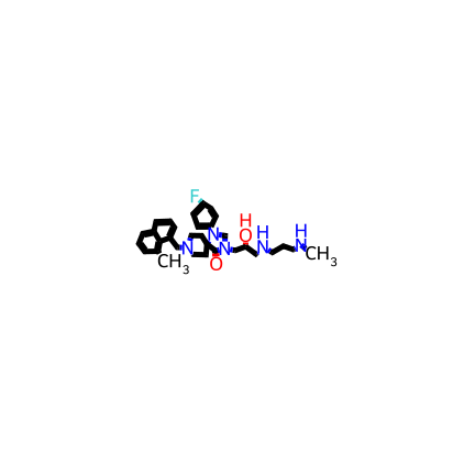 CNCCCNCC(O)CN1CN(c2ccc(F)cc2)C2(CCN(Cc3cccc4cccc(C)c34)CC2)C1=O